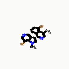 Cc1cncc2cccc(Br)c12.Cn1ccc2cncc(Br)c21